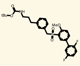 COc1ccc(-c2cc(F)ccc2F)cc1S(=O)(=O)Cc1cccc(CCCNC(=O)OC(C)(C)C)c1